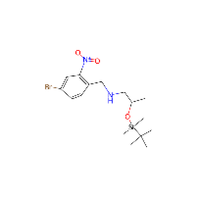 CC(CNCc1ccc(Br)cc1[N+](=O)[O-])O[Si](C)(C)C(C)(C)C